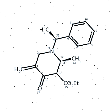 C=C1CN([C@@H](C)c2ccccc2)[C@@H](C)C(C(=O)OCC)C1=O